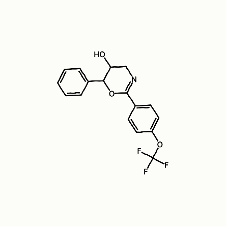 OC1CN=C(c2ccc(OC(F)(F)F)cc2)OC1c1ccccc1